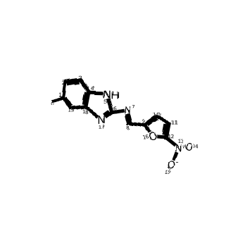 Cc1ccc2[nH]c(N=Cc3ccc([N+](=O)[O-])o3)nc2c1